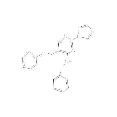 c1ccc(CNc2nc(-n3ccnc3)ncc2COc2ccccc2)cc1